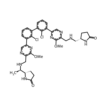 COc1nc(-c2cccc(-c3cccc(-c4cnc(CN[C@H](C)[C@@H]5CCC(=O)N5)c(OC)n4)c3Cl)c2Cl)cnc1CNC[C@@H]1CCC(=O)N1